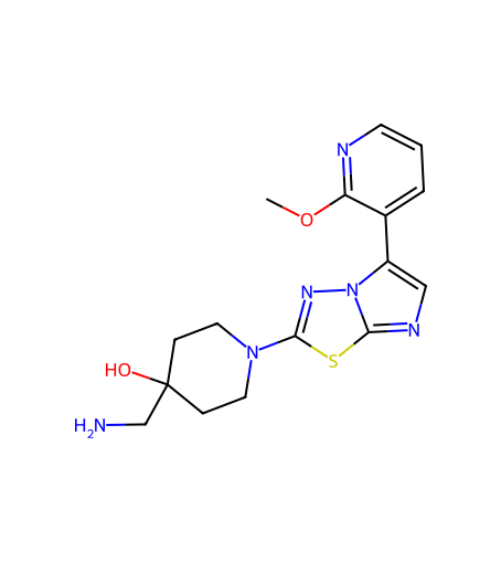 COc1ncccc1-c1cnc2sc(N3CCC(O)(CN)CC3)nn12